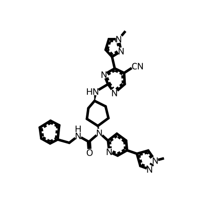 Cn1cc(-c2ccc(N(C(=O)NCc3ccccc3)[C@H]3CC[C@H](Nc4ncc(C#N)c(-c5ccn(C)n5)n4)CC3)nc2)cn1